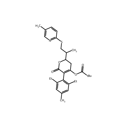 CCc1cc(C)cc(CC)c1C1=C(OC(=O)C(C)(C)C)CC(C(C)CSc2ccc(C)cn2)OC1=O